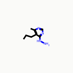 CCCc1c(C)ncnc1NN